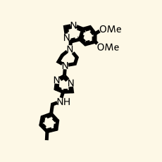 COc1cc2ncnc(N3CCN(c4ncc(NCc5ccc(C)cc5)cn4)CC3)c2cc1OC